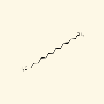 CCCC=CCCCCC=CCCCC